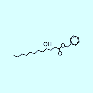 CCCCCCCC[C@H](O)CCC(=O)OCc1ccccc1